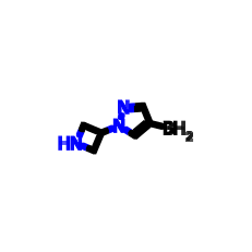 Bc1cnn(C2CNC2)c1